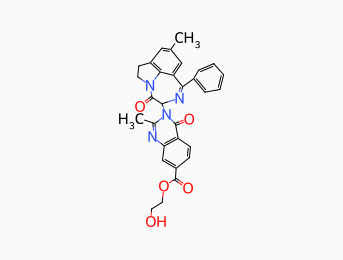 Cc1cc2c3c(c1)C(c1ccccc1)=NC(n1c(C)nc4cc(C(=O)OCCO)ccc4c1=O)C(=O)N3CC2